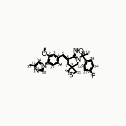 COc1cc(/C=C2\CC3(CSC3)CN3C2=NOC3(C)c2ccc(F)cc2)ccc1-n1cnc(C)c1